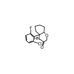 O=C1COC2CCCCC2(c2c(F)cccc2Cl)N1